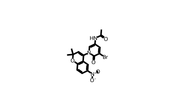 CC(=O)Nc1cc(Br)c(=O)n(C2=CC(C)(C)Oc3ccc([N+](=O)[O-])cc32)c1